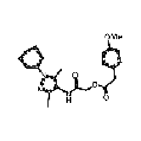 COc1ccc(CC(=O)OCC(=O)Nc2c(C)nn(-c3ccccc3)c2C)cc1